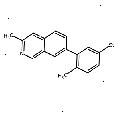 CCc1ccc(C)c(-c2ccc3cc(C)ncc3c2)c1